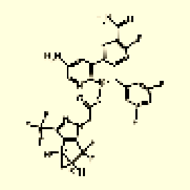 NC(=O)c1cc(-c2cc(N)cnc2[C@H](Cc2cc(F)cc(F)c2)NC(=O)Cn2nc(C(F)(F)F)c3c2C(F)(F)[C@@H]2C[C@H]32)ccc1F